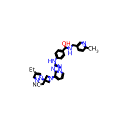 CCc1cnn(C2(CC#N)CN(c3cccn4nc(Nc5ccc(C(O)NCc6ccc(C)nc6)cc5)nc34)C2)c1